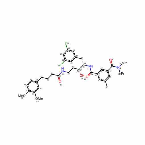 CCCN(CCC)C(=O)c1cc(C)cc(C(=O)N[C@@H](Cc2cc(F)cc(F)c2)[C@H](O)CCNC(=O)CCCc2ccc(OC)c(OC)c2)c1